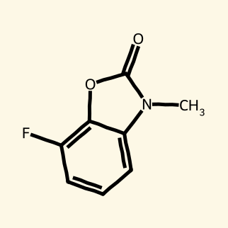 Cn1c(=O)oc2c(F)cccc21